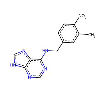 Cc1cc(CNc2ncnc3[nH]cnc23)ccc1[N+](=O)[O-]